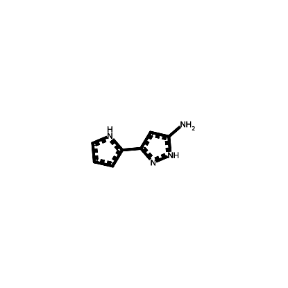 Nc1cc(-c2ccc[nH]2)n[nH]1